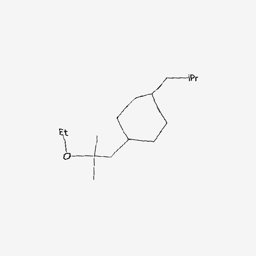 CCOC(C)(C)CC1CCC(CC(C)C)CC1